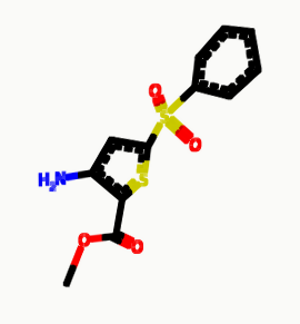 COC(=O)c1sc(S(=O)(=O)c2ccccc2)cc1N